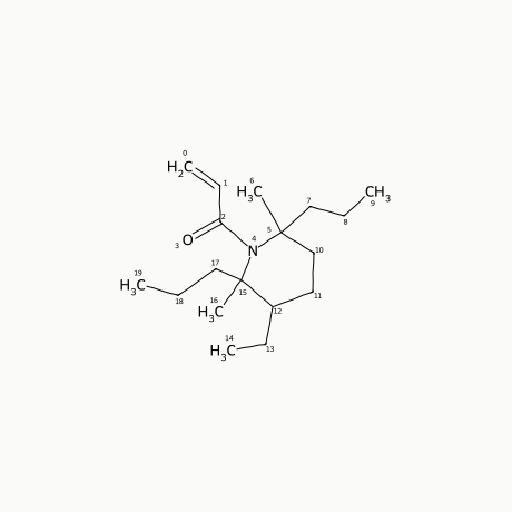 C=CC(=O)N1C(C)(CCC)CCC(CC)C1(C)CCC